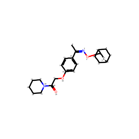 C/C(=N/OC1CC2CCC1CC2)c1ccc(OCC(=O)N2CCCCC2)cc1